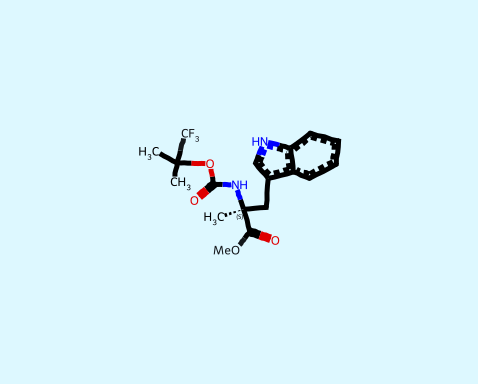 COC(=O)[C@](C)(Cc1c[nH]c2ccccc12)NC(=O)OC(C)(C)C(F)(F)F